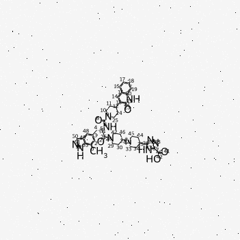 Cc1cc(C[C@H](NC(=O)N2CCC(c3cc4ccccc4[nH]c3=O)CC2)C(=O)N2CCC(N3CCC(c4nnc(C(=O)O)[nH]4)CC3)CC2)cc2cn[nH]c12